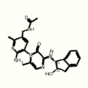 CC(=O)NCc1cc(-n2c(C)cnc(N[C@H]3c4ccccc4C[C@H]3O)c2=O)c(N)nc1C